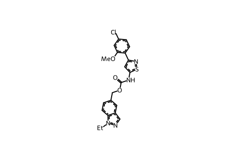 CCn1ncc2cc(COC(=O)Nc3cc(-c4ccc(Cl)cc4OC)ns3)ccc21